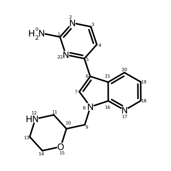 Nc1nccc(-c2cn(CC3CNCCO3)c3ncccc23)n1